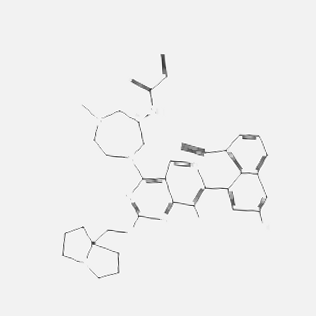 C#Cc1cccc2cc(O)cc(-c3ncc4c(N5CCN(C)C[C@@H](NC(=O)C=C)C5)nc(OCC56CCCN5CCC6)nc4c3F)c12